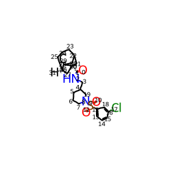 O=C(NCC1CCCN(S(=O)(=O)c2cccc(Cl)c2)C1)[C@]12CC3CC4C[C@H](C1)C2(C4)C3